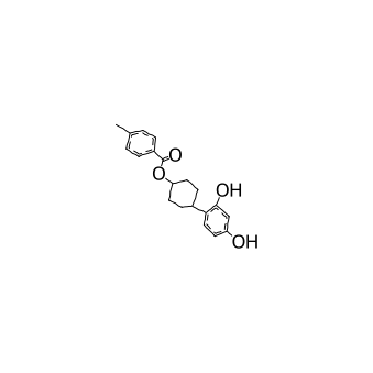 Cc1ccc(C(=O)OC2CCC(c3ccc(O)cc3O)CC2)cc1